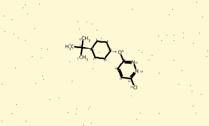 CC(C)(C)[C@H]1CC[C@H](Oc2ccc(Cl)nn2)CC1